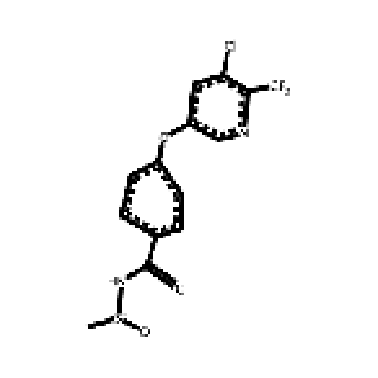 C[S+]([O-])NC(=O)c1ccc(Oc2cnc(C(F)(F)F)c(Cl)c2)cc1